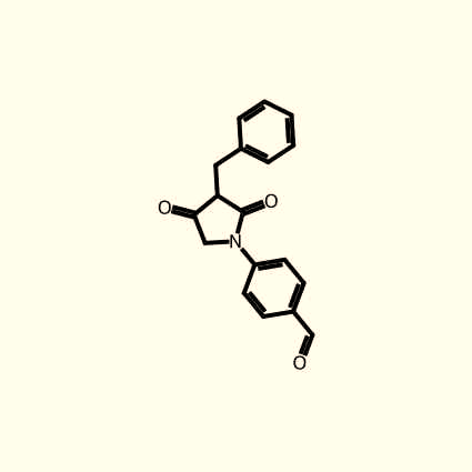 O=Cc1ccc(N2CC(=O)C(Cc3ccccc3)C2=O)cc1